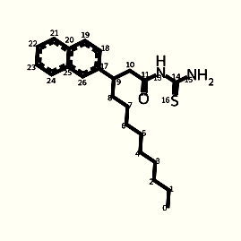 CCCCCCCCCC(CC(=O)NC(N)=S)c1ccc2ccccc2c1